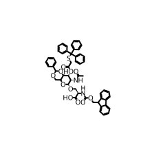 CC(=O)N[C@@H]1[C@H](OC[C@@H](NC(=O)OCC2c3ccccc3-c3ccccc32)C(=O)O)OC2COC(c3ccccc3)O[C@H]2[C@@H]1OC(=O)CSC(c1ccccc1)(c1ccccc1)c1ccccc1